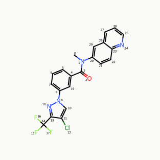 CN(C(=O)c1cccc(-n2cc(Cl)c(C(F)(F)F)n2)c1)c1ccc2ncccc2c1